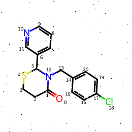 O=C1CCSC(c2cccnc2)N1Cc1ccc(Cl)cc1